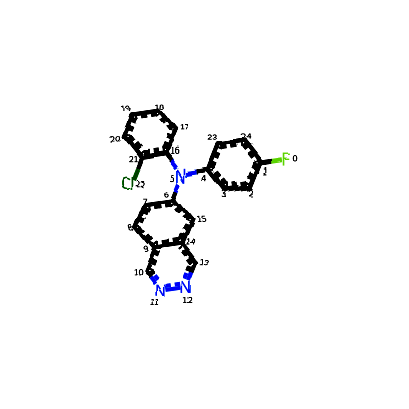 Fc1ccc(N(c2ccc3cnncc3c2)c2ccccc2Cl)cc1